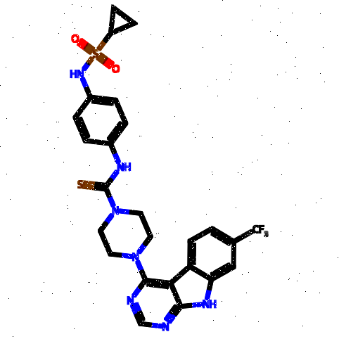 O=S(=O)(Nc1ccc(NC(=S)N2CCN(c3ncnc4[nH]c5cc(C(F)(F)F)ccc5c34)CC2)cc1)C1CC1